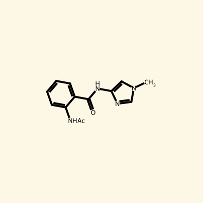 CC(=O)Nc1ccccc1C(=O)Nc1cn(C)cn1